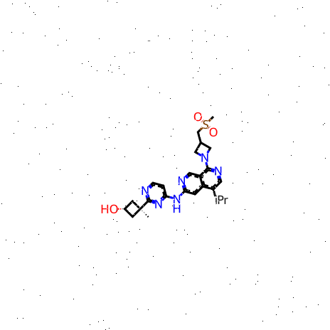 CC(C)c1cnc(N2CC(CS(C)(=O)=O)C2)c2cnc(Nc3ccnc([C@]4(C)C[C@@H](O)C4)n3)cc12